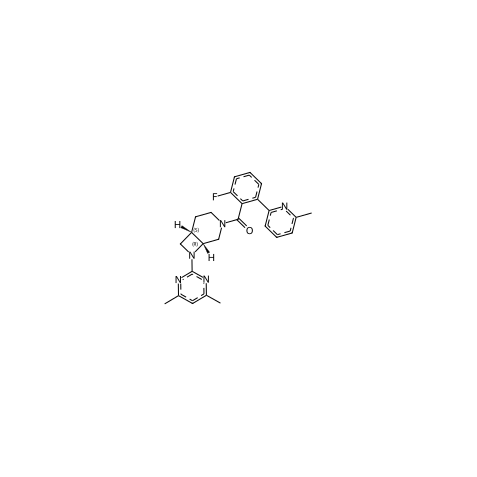 Cc1cccc(-c2cccc(F)c2C(=O)N2CC[C@H]3CN(c4nc(C)cc(C)n4)[C@H]3C2)n1